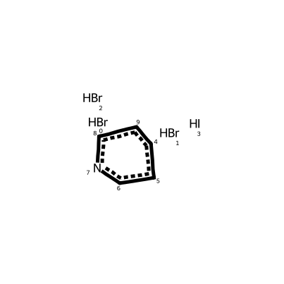 Br.Br.Br.I.c1ccncc1